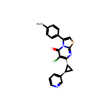 COc1ccc(-c2csc3nc([C@@H]4C[C@H]4c4cccnc4)c(Cl)c(=O)n23)cc1